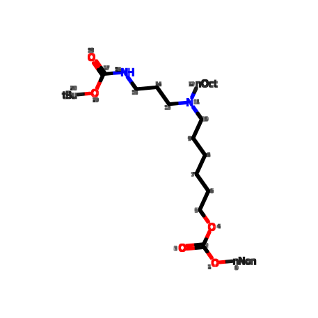 CCCCCCCCCOC(=O)OCCCCCCN(CCCCCCCC)CCCNC(=O)OC(C)(C)C